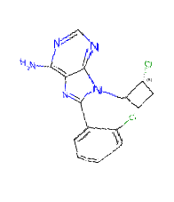 Nc1ncnc2c1nc(-c1ccccc1Cl)n2C1CC[C@H]1Cl